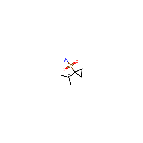 C[SiH](C)C1(S(N)(=O)=O)CC1